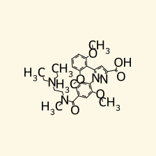 CCN(CC)CCN(C)C(=O)c1ccc(-n2nc(C(=O)O)cc2-c2c(OC)cccc2OC)c(OC)c1